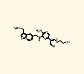 COCc1cnn2ccc(CNc3nc(/C(C=N)=C/NCCO)cnc3N)cc12